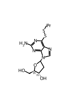 CC(C)SSc1nc(N)nc2c1ncn2C1C[C@H](O)[C@@H](CO)O1